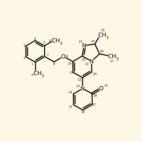 Cc1cccc(C)c1COC1=CC(n2ccccc2=O)=CN2C1=NC(C)C2C